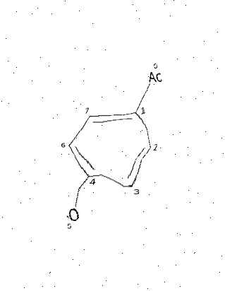 CC(=O)c1ccc([O])cc1